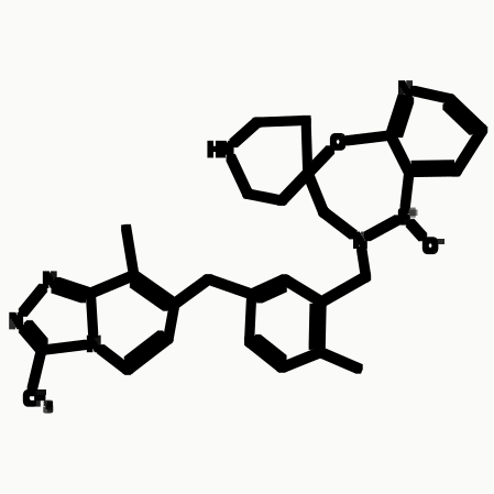 Cc1ccc(Cc2ccn3c(C(F)(F)F)nnc3c2C)cc1CN1CC2(CCNCC2)Oc2ncccc2[S+]1[O-]